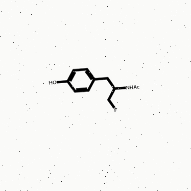 CC(=O)NC(CF)Cc1ccc(O)cc1